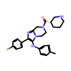 Cc1ccc(Nc2c(-c3ccc(F)cc3)nc3n2CCN(C(=O)[C@H]2CCCNC2)C3)cc1